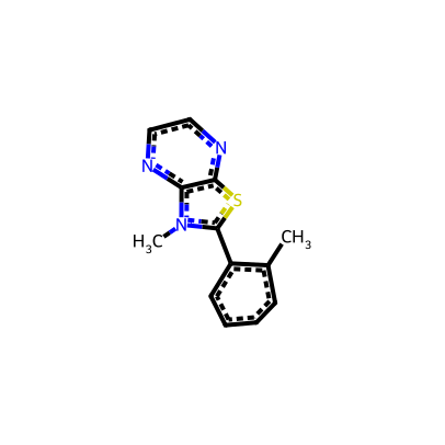 Cc1ccccc1-c1sc2nccnc2[n+]1C